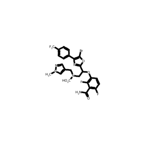 Cn1cc(CN(CC(Oc2ccc(F)c(C(N)=O)c2F)c2nc(-c3ccc(C(F)(F)F)cc3)c(Br)o2)C(=O)O)cn1